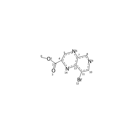 COC(=O)c1cnc2cncc(Br)c2n1